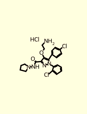 Cl.NCCOc1c(C(=O)NN2CCCC2)nn(-c2ccccc2Cl)c1-c1ccc(Cl)cc1